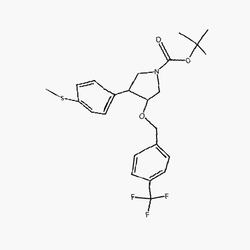 CSc1ccc(C2CN(C(=O)OC(C)(C)C)CC2OCc2ccc(C(F)(F)F)cc2)cc1